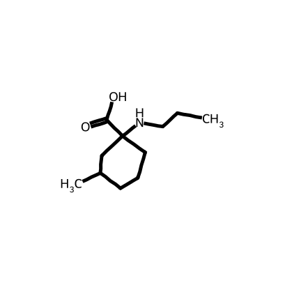 CCCNC1(C(=O)O)CCCC(C)C1